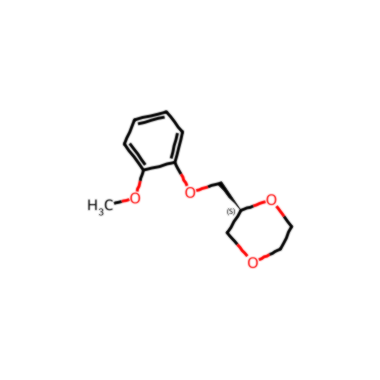 COc1ccccc1OC[C@@H]1COCCO1